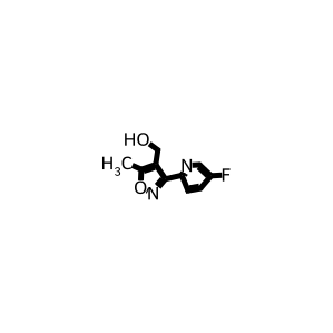 Cc1onc(-c2ccc(F)cn2)c1CO